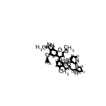 COC(=O)CC(c1ccc(C)c(CN2C[C@H]3CCCN3c3ncccc3S2(O)O)c1)c1cc(OC2CC2)c2c(c1)nnn2C